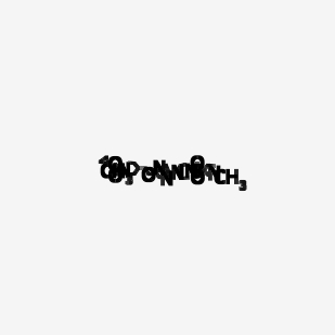 CN1CC[C@@H](S(=O)(=O)N2CCN(c3cnc(OCC4CCN(C(=O)OC5(C)CC5)CC4)cn3)CC2)C1